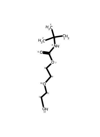 CC(C)(C)NC(=O)OCCOCCO